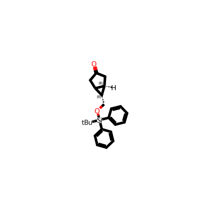 CC(C)(C)[Si](OC[C@@H]1C2CC(=O)C[C@H]21)(c1ccccc1)c1ccccc1